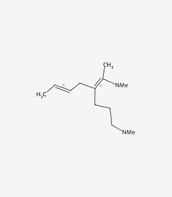 C/C=C/C/C(CCCNC)=C(\C)NC